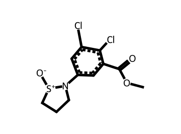 COC(=O)c1cc(N2CCC[S+]2[O-])cc(Cl)c1Cl